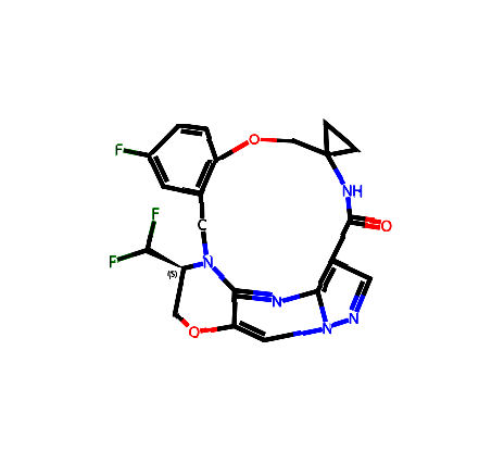 O=C1NC2(CC2)COc2ccc(F)cc2CN2c3nc4c1cnn4cc3OC[C@H]2C(F)F